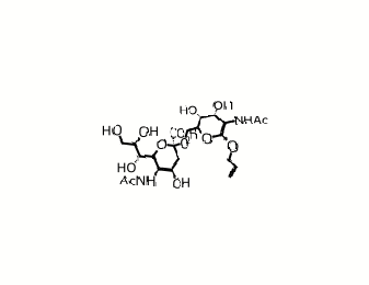 C=CCO[C@H]1OC(CO[C@@]2(C(=O)O)C[C@@H](O)[C@@H](NC(C)=O)C([C@H](O)[C@H](O)CO)O2)[C@H](O)[C@H](O)C1NC(C)=O